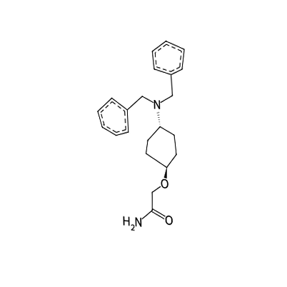 NC(=O)CO[C@H]1CC[C@H](N(Cc2ccccc2)Cc2ccccc2)CC1